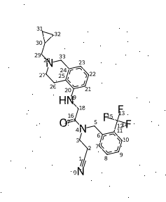 N#CCCN(Cc1ccccc1C(F)(F)F)C(=O)CNc1cccc2c1CCN(CC1CC1)C2